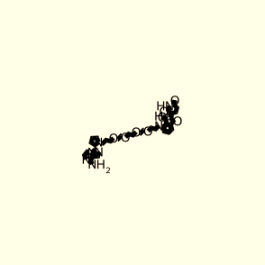 Nc1nccn2c([C@@H]3CCCN3CCCOCCOCCOCCOCCNc3cccc4c3C(=O)N(C3CCC(=O)NC3=O)C4=O)ncc12